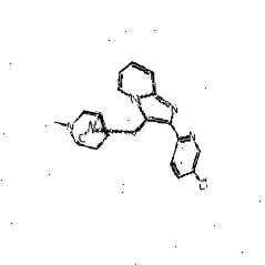 CN1CC2CCC1CN2Cc1c(-c2ccc(Cl)cn2)nc2ccccn12